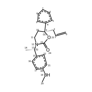 C=CC[C@@]1(c2ccccc2)CCN([C@@H](C)c2ccc(BC)cc2)C(=O)O1